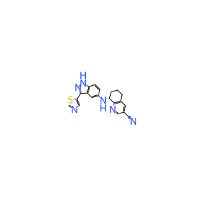 N#Cc1cnc2c(c1)CCC[C@H]2Nc1ccc2[nH]nc(-c3cncs3)c2c1